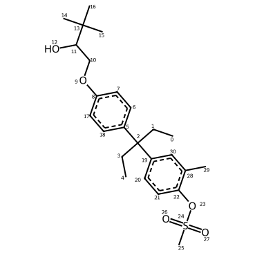 CCC(CC)(c1ccc(OCC(O)C(C)(C)C)cc1)c1ccc(OS(C)(=O)=O)c(C)c1